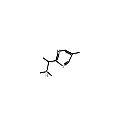 Cc1cnc(C(C)[SH](C)C)nc1